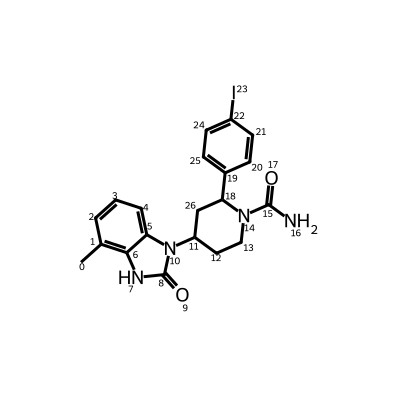 Cc1cccc2c1[nH]c(=O)n2C1CCN(C(N)=O)C(c2ccc(I)cc2)C1